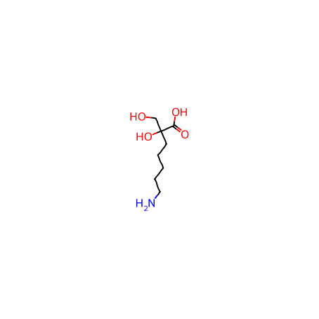 NCCCCCC(O)(CO)C(=O)O